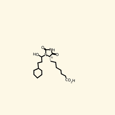 O=C(O)CCCCCC[C@H]1C(=O)NC(=O)N1C(O)CCC1CCCCC1